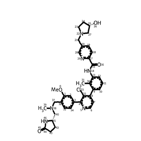 COc1cc(-c2nccc(-c3cccc(NC(=O)c4ccc(CN5CC[C@H](O)C5)cn4)c3C)c2Cl)ccc1CN(C)C[C@@H]1CCC(=O)N1